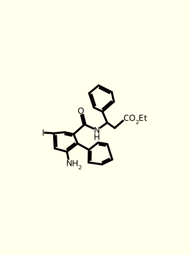 CCOC(=O)CC(NC(=O)c1cc(I)cc(N)c1-c1ccccc1)c1ccccc1